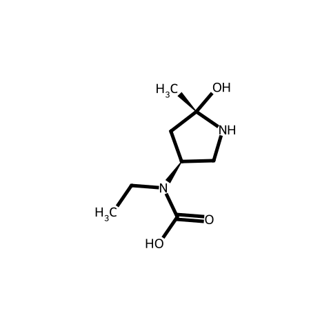 CCN(C(=O)O)[C@@H]1CN[C@@](C)(O)C1